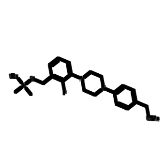 COCc1ccc(N2CCN(c3cccc(CO[Si](C)(C)C(C)(C)C)c3F)CC2)cc1